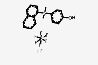 CS(C)(c1ccc(O)cc1)c1cccc2ccccc12.F[P-](F)(F)(F)(F)F.[H+]